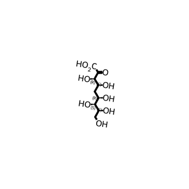 O=C(O)C(=O)[C@H](O)[C@@H](O)C[C@@H](O)[C@H](O)[C@@H](O)CO